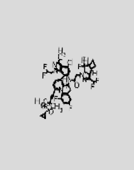 Cc1nn(CC(F)F)c2c(-c3ccc(C#CC(C)(C)S(=O)(=O)C4CC4)nc3[C@H](Cc3cc(F)cc(F)c3)NC(=O)Cn3nc(C(F)F)c4c3C(F)(F)[C@@H]3CC[C@H]43)ccc(Cl)c12